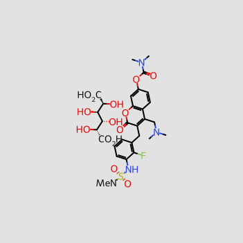 CNS(=O)(=O)Nc1cccc(Cc2c(CN(C)C)c3ccc(OC(=O)N(C)C)cc3oc2=O)c1F.O=C(O)[C@@H](O)[C@H](O)[C@H](O)[C@@H](O)C(=O)O